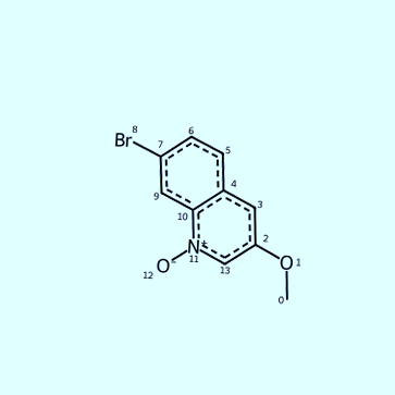 COc1cc2ccc(Br)cc2[n+]([O-])c1